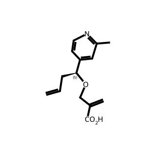 C=CC[C@H](OCC(=C)C(=O)O)c1ccnc(C)c1